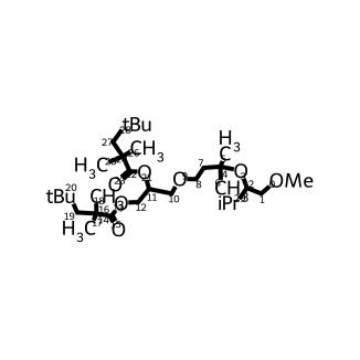 COCC(OC(C)(C)CCOCC(COC(=O)C(C)(C)CC(C)(C)C)OC(=O)C(C)(C)CC(C)(C)C)C(C)C